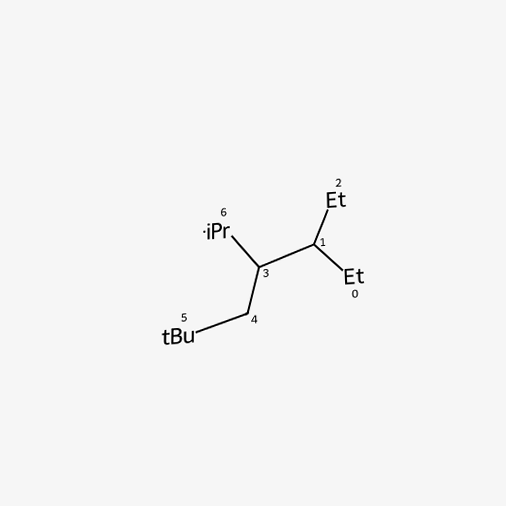 CCC(CC)C(CC(C)(C)C)[C](C)C